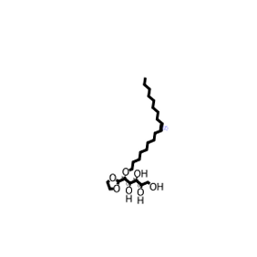 CCCCCCCC/C=C\CCCCCCCCO[C@@H](C1OCCO1)[C@@H](O)[C@H](O)[C@H](O)CO